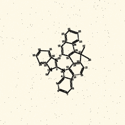 Cn1c(-n2c3ccccc3c3ccc4c(c32)-c2ccc3ccccc3c2C4(C)C)nc2ccccc21